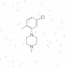 Cc1ccc(Cl)cc1N1CCN(C)CC1